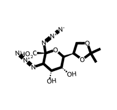 CC1(C)OC[C@H](C2O[C@](N=[N+]=[N-])(C(=O)O)C(N=[N+]=[N-])[C@@H](O)[C@H]2O)O1